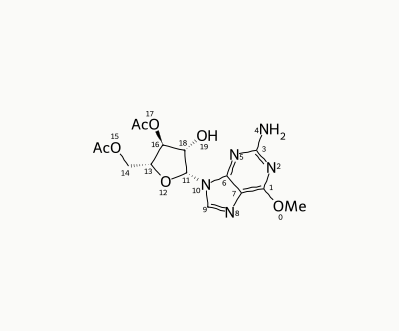 COc1nc(N)nc2c1ncn2[C@@H]1O[C@H](COC(C)=O)[C@@H](OC(C)=O)[C@@H]1O